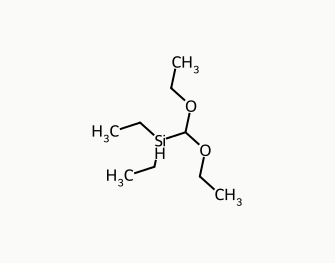 CCOC(OCC)[SiH](CC)CC